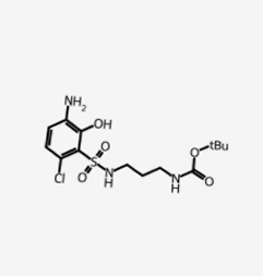 CC(C)(C)OC(=O)NCCCNS(=O)(=O)c1c(Cl)ccc(N)c1O